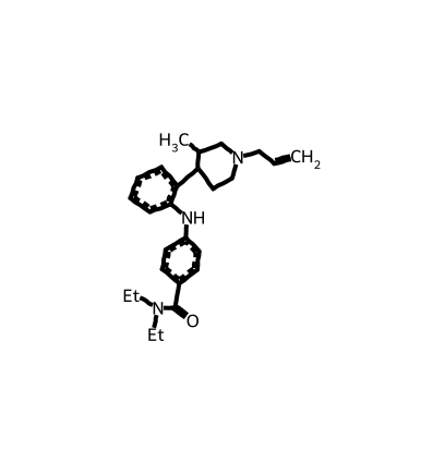 C=CCN1CCC(c2ccccc2Nc2ccc(C(=O)N(CC)CC)cc2)C(C)C1